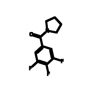 O=C(c1cc(F)c(F)c(F)c1)N1CCCC1